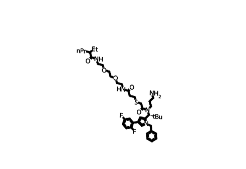 CCCC(CC)C(=O)NCCOCCOCCNC(=O)CCSCC(=O)N(CCCN)[C@@H](c1cc(-c2cc(F)ccc2F)cn1Cc1ccccc1)C(C)(C)C